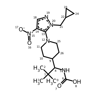 CC(C)(C)C(NC(=O)O)C1CCN(c2c([N+](=O)[O-])cnn2CC2CC2)CC1